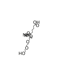 N.N.O=C(O)CCCCC(=O)OCCOCCOCCO